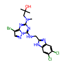 CN(CC(C)(C)O)c1nc(NCc2nc3cc(Cl)c(Cl)cc3[nH]2)n2ncc(Br)c2n1